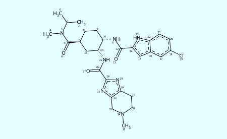 CC(C)N(C)C(=O)[C@H]1CC[C@H](NC(=O)c2cc3cc(Cl)ccc3[nH]2)[C@H](NC(=O)c2nc3c(s2)CN(C)CC3)C1